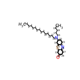 CCCCCCCCCCCCCCCN(CCCCC)c1ccc2nc3ccc(=O)cc-3sc2c1